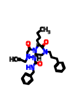 C#CCN1CC(=O)N2[C@@H](CCCC)C(=O)N(CCCc3ccccc3)C[C@@H]2N1C(=O)NCc1ccccc1